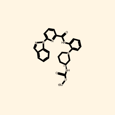 CC(C)(C)OC(=O)N[C@H]1CCCN(c2ccccc2NC(=O)c2cccc(-n3ncc4ccccc43)n2)C1